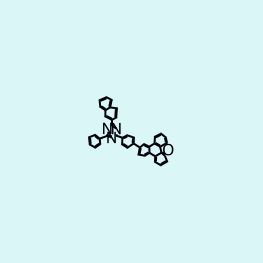 c1ccc(-c2nc(-c3ccc(-c4ccc5c(c4)c4cccc6oc7cccc5c7c64)cc3)nc(-c3ccc4ccccc4c3)n2)cc1